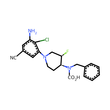 N#Cc1cc(N)c(Cl)c(N2CC[C@H](N(Cc3ccccc3)C(=O)O)[C@H](F)C2)c1